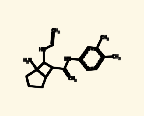 C=CNC1C(C(=C)Nc2ccc(C)c(C)c2)C2CCCC21N